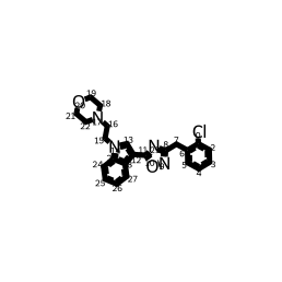 Clc1ccccc1Cc1noc(-c2cn(CCN3CCOCC3)c3ccccc23)n1